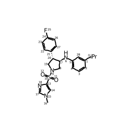 CC(C)c1cccc(N[C@H]2CN(S(=O)(=O)c3cn(C)cn3)C[C@@H]2c2ccc(F)cc2)c1